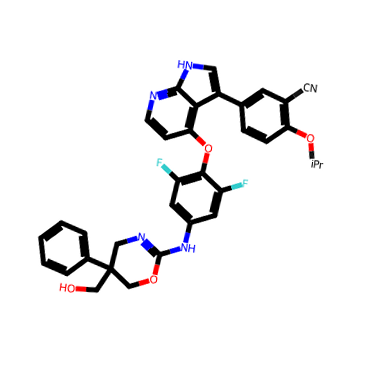 CC(C)Oc1ccc(-c2c[nH]c3nccc(Oc4c(F)cc(NC5=NCC(CO)(c6ccccc6)CO5)cc4F)c23)cc1C#N